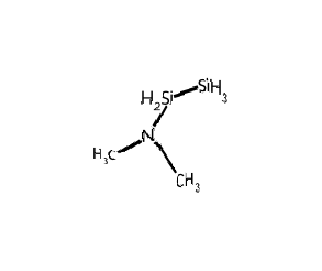 CN(C)[SiH2][SiH3]